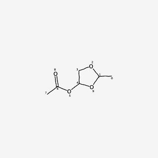 C[C]1OCC(OC(C)=O)O1